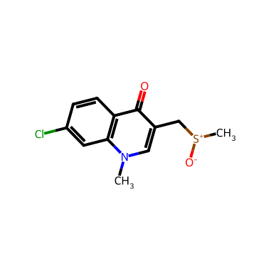 Cn1cc(C[S+](C)[O-])c(=O)c2ccc(Cl)cc21